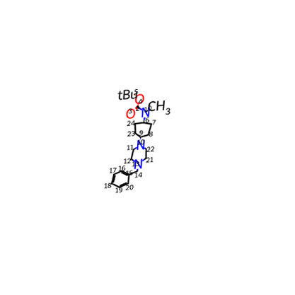 CN(C(=O)OC(C)(C)C)[C@H]1CC[C@H](N2CCN(Cc3ccccc3)CC2)CC1